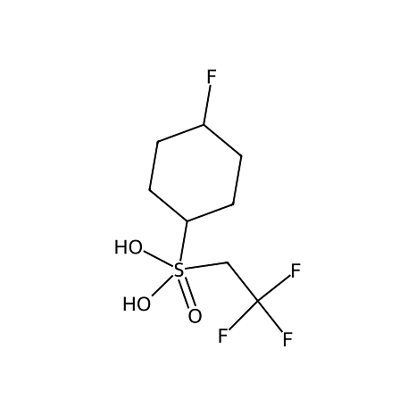 O=S(O)(O)(CC(F)(F)F)C1CCC(F)CC1